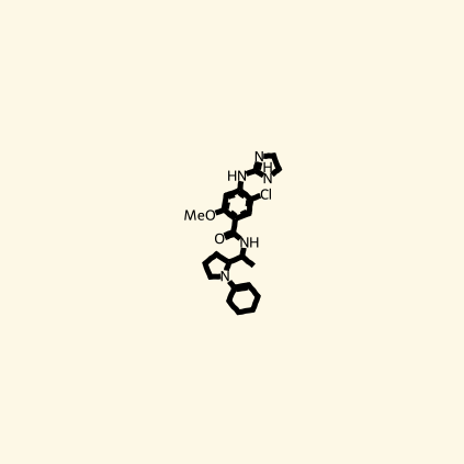 COc1cc(NC2=NCCN2)c(Cl)cc1C(=O)NC(C)C1CCCN1C1=CCCCC1